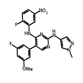 COc1cc(F)cc(-c2cnc(Nc3cnn(C)c3)nc2Nc2cc([N+](=O)[O-])ccc2F)c1